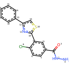 NNC(=O)c1ccc(Cl)c(-c2nc(-c3ccccc3)cs2)c1